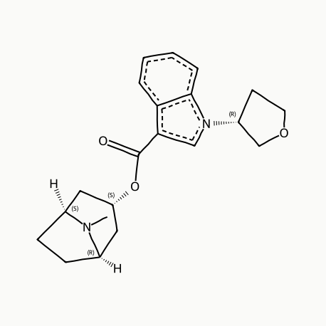 CN1[C@@H]2CC[C@H]1C[C@H](OC(=O)c1cn([C@@H]3CCOC3)c3ccccc13)C2